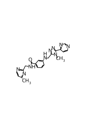 Cc1ccnc(CNC(=O)c2cccc(NCc3nnc(-c4ccncn4)n3C)c2)n1